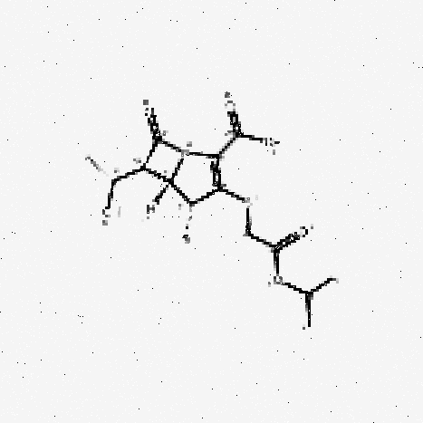 CC(C)OC(=O)CSC1=C(C(=O)O)N2C(=O)[C@H]([C@@H](C)O)[C@H]2[C@H]1C